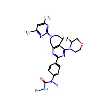 CCNC(=O)N(I)c1ccc(-c2nc3c(c(N4CCOCC4C)n2)CCN(c2nc(C)cc(C)n2)C3)cc1